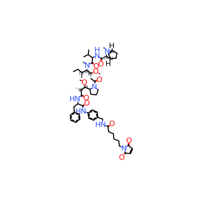 CC[C@H](C)[C@@H]([C@@H](CC(=O)N1CCCC1[C@H](OC)[C@@H](C)C(=O)NC(Cc1ccccc1)C(=O)Nc1ccc(CNC(=O)CCCCCN2C(=O)C=CC2=O)cc1)OC)N(C)C(=O)C(NC(=O)[C@@H]1[C@H]2CC[C@H](C2)N1C)C(C)C